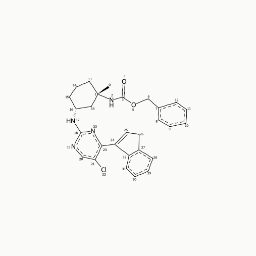 C[C@]1(NC(=O)OCc2ccccc2)CCC[C@@H](Nc2ncc(Cl)c(C3=CCc4ccccc43)n2)C1